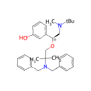 CN(C[C@@H](OCC(C)(C)N(Cc1ccccc1)Cc1ccccc1)c1cccc(O)c1)C(C)(C)C